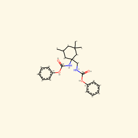 CC1CC(C)(C)CC(CNC(=O)Oc2ccccc2)(NC(=O)Oc2ccccc2)C1